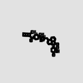 CC1C2C3CC4C3C2C14C(=O)N1CCC(C)(n2cc(Cc3ccc4c5c(cccc35)C(=O)N4C3CCC(=O)NC3=O)cn2)CC1